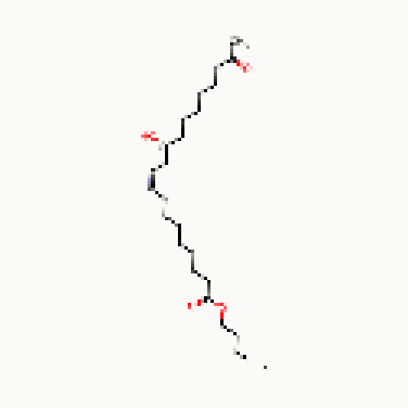 CCCCOC(=O)CCCCCCC/C=C\C[C@H](O)CCCCCCC(C)=O